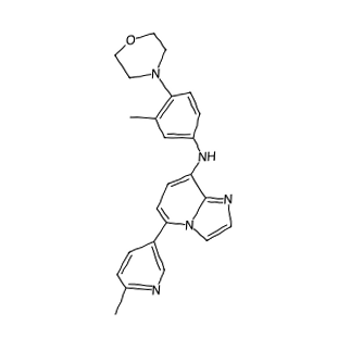 Cc1ccc(-c2ccc(Nc3ccc(N4CCOCC4)c(C)c3)c3nccn23)cn1